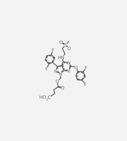 CS(=O)(=O)CCNc1nc(Oc2ccc(F)cc2F)nc2c1c(-c1cc(F)ccc1F)nn2COC(=O)CCC(=O)O